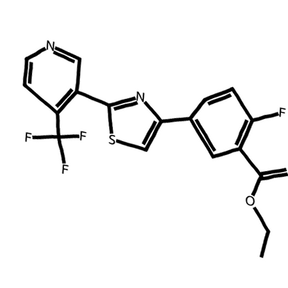 CCOC(=O)c1cc(-c2csc(-c3cnccc3C(F)(F)F)n2)ccc1F